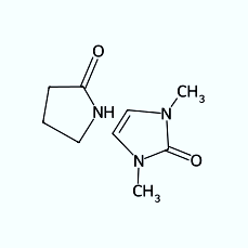 Cn1ccn(C)c1=O.O=C1CCCN1